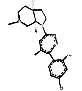 Cc1cc(N2CC[C@@H]3CCN(C)C[C@@H]32)nnc1-c1ccc(Cl)cc1O